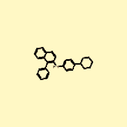 c1ccc(-c2c(Nc3ccc(C4CCCCC4)cc3)ccc3ccccc23)cc1